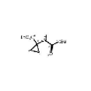 CCOC(=O)C1(NC(=O)C(C)(C)C)CC1